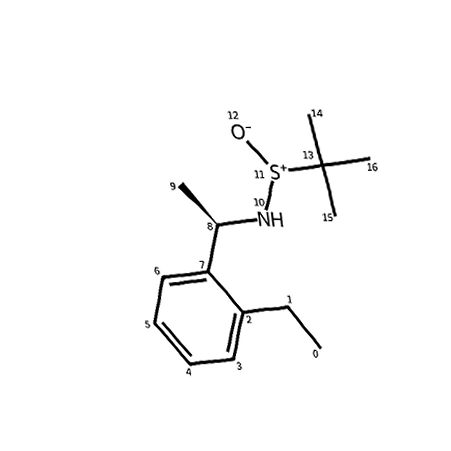 CCc1ccccc1[C@@H](C)N[S+]([O-])C(C)(C)C